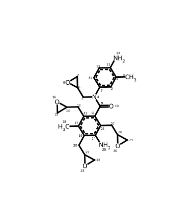 Cc1cc(N(CC2CO2)C(=O)c2c(CC3CO3)c(C)c(CC3CO3)c(N)c2CC2CO2)ccc1N